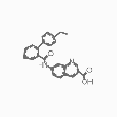 CCc1ccc(-c2ccccc2C(=O)Nc2ccc3cc(C(=O)O)cnc3c2)cc1